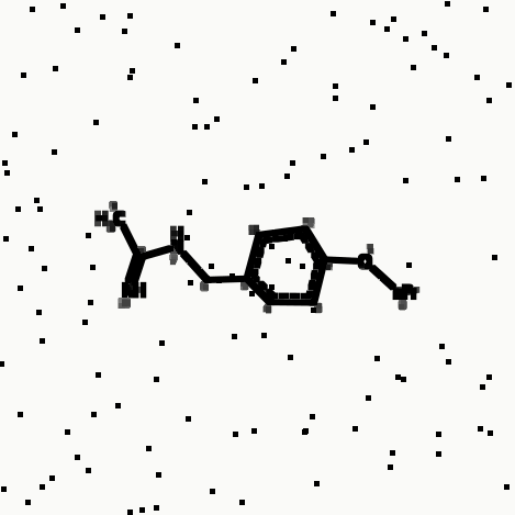 CCCOc1ccc(CNC(C)=N)cc1